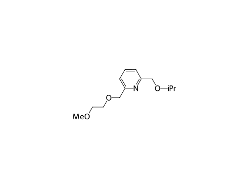 COCCOCc1cccc(COC(C)C)n1